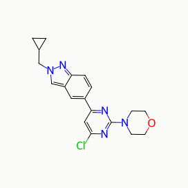 Clc1cc(-c2ccc3nn(CC4CC4)cc3c2)nc(N2CCOCC2)n1